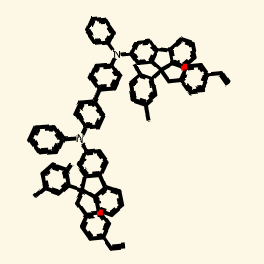 C=Cc1ccc(CC2(c3cc(C)ccc3C)c3ccccc3-c3ccc(N(c4ccccc4)c4ccc(-c5ccc(N(c6ccccc6)c6ccc7c(c6)C(Cc6ccc(C=C)cc6)(c6cc(C)ccc6C)c6ccccc6-7)cc5)cc4)cc32)cc1